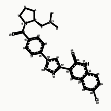 CN(C)C[C@@H]1CCCN1C(=O)c1ccc(-n2cc(-c3cc4cc(Cl)ccc4[nH]c3=O)nn2)cc1